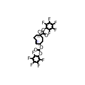 C[C@]1(C(=O)Oc2c(F)c(F)c(F)c(F)c2F)CC/C=C/[C@@H](OC(=O)Oc2c(F)c(F)c(F)c(F)c2F)CC1